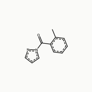 Cc1ccccc1C(=O)n1cccn1